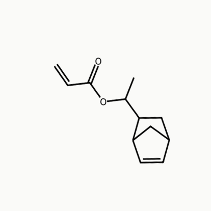 C=CC(=O)OC(C)C1CC2C=CC1C2